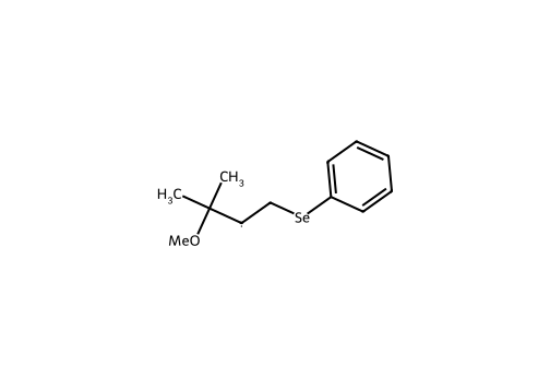 COC(C)(C)[CH]C[Se]c1ccccc1